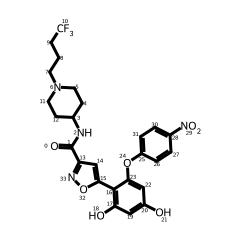 O=C(NC1CCN(CCCC(F)(F)F)CC1)c1cc(-c2c(O)cc(O)cc2Oc2ccc([N+](=O)[O-])cc2)on1